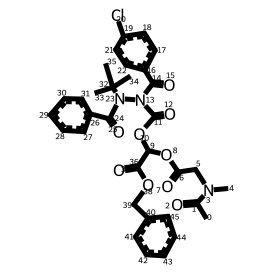 CC(=O)N(C)CC(=O)OC(OC(=O)N(C(=O)c1ccc(Cl)cc1)N(C(=O)c1ccccc1)C(C)(C)C)C(=O)OCc1ccccc1